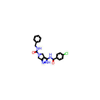 O=C(Nc1[nH]nc2c1CN(C(=O)NCc1ccccc1)C2)c1ccc(Cl)cc1